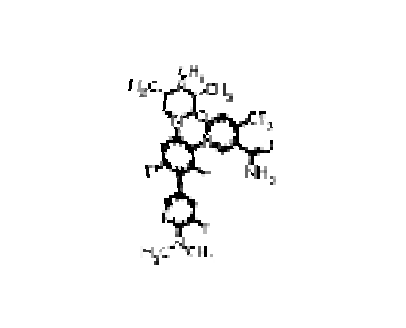 C[C@@H]1CN(c2cc(F)c(-c3cnc(N(C)C)c(F)c3)c(F)c2-n2cc(C(N)=O)c(C(F)(F)F)cc2=O)C[C@H](C)N1C